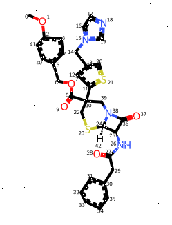 COc1ccc(COC(=O)C2(c3cc(Cn4ccnc4)cs3)CS[C@@H]3[C@H](NC(=O)Cc4ccccc4)C(=O)N3C2)cc1